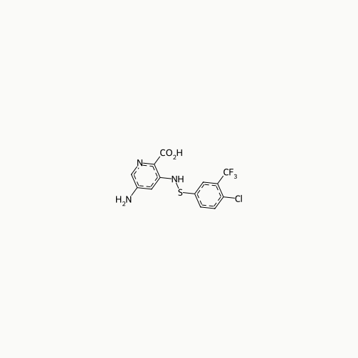 Nc1cnc(C(=O)O)c(NSc2ccc(Cl)c(C(F)(F)F)c2)c1